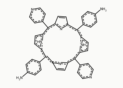 Nc1ccc(-c2c3nc(c(-c4ccncc4)c4ccc([nH]4)c(-c4ccc(N)cc4)c4nc(c(-c5ccncc5)c5ccc2[nH]5)C=C4)C=C3)cc1